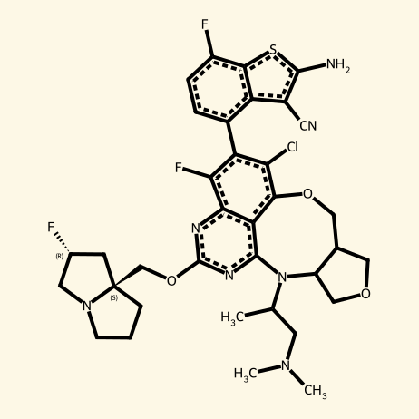 CC(CN(C)C)N1c2nc(OC[C@@]34CCCN3C[C@H](F)C4)nc3c(F)c(-c4ccc(F)c5sc(N)c(C#N)c45)c(Cl)c(c23)OCC2COCC21